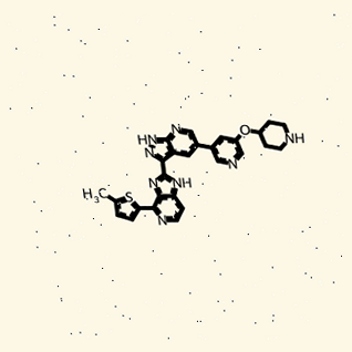 Cc1ccc(-c2nccc3[nH]c(-c4n[nH]c5ncc(-c6cncc(OC7CCNCC7)c6)cc45)nc23)s1